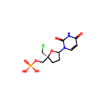 O=c1ccn(C2CC[C@@](CCl)(COP(=O)(O)O)O2)c(=O)[nH]1